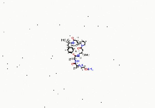 CC[C@H](C)[C@@H]([C@@H](CC(=O)N1CCC[C@H]1[C@H](OC)[C@@H](C)C(=O)N[C@@H](Cc1ccccc1)C(=O)O)OC)N(C)C(=O)[C@@H](NC(=O)C(NCCON)C(C)C)C(C)C